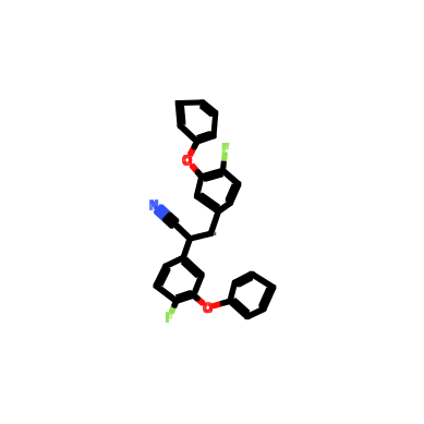 N#CC([CH]c1ccc(F)c(Oc2ccccc2)c1)c1ccc(F)c(Oc2ccccc2)c1